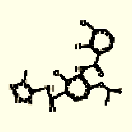 Cn1nnnc1NC(=O)c1ccc(OC(F)F)c(NC(=O)c2cccc(Cl)c2Cl)c1Cl